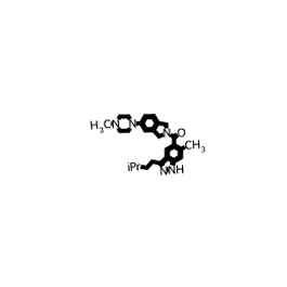 Cc1cc2[nH]nc(CCC(C)C)c2cc1C(=O)N1Cc2ccc(N3CCN(C)CC3)cc2C1